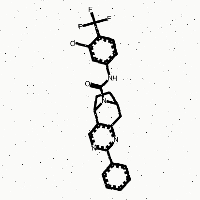 O=C(Nc1ccc(C(F)(F)F)c(Cl)c1)N1C2CCC1c1cnc(-c3ccccc3)nc1C2